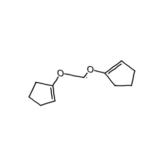 [CH](OC1=CCCC1)OC1=CCCC1